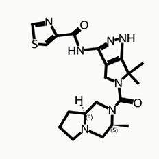 C[C@H]1CN2CCC[C@H]2CN1C(=O)N1Cc2c(NC(=O)c3cscn3)n[nH]c2C1(C)C